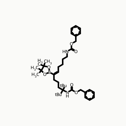 CC(C)(C)C(CCC/C(=C/CCCCNC(=O)OCc1ccccc1)B1OC(C)(C)C(C)(C)O1)(NC(=O)OCc1ccccc1)C(C)(C)C